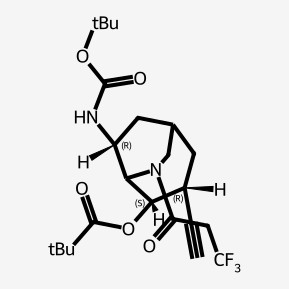 C#C[C@H]1CC2C[C@@H](NC(=O)OC(C)(C)C)C([C@H]1OC(=O)C(C)(C)C)N(C(=O)CC(F)(F)F)C2